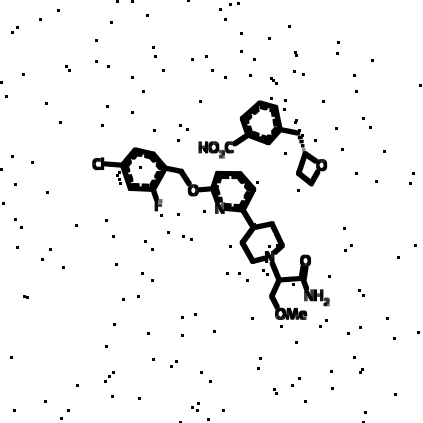 COCC(C(N)=O)N1CCC(c2cccc(OCc3ccc(Cl)cc3F)n2)CC1.O=C(O)c1cccc(C[C@H]2CCO2)c1